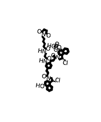 O=C(CCCCCN1C(=O)C=CC1=O)NCCC(=O)Nc1cc(C=CC(=O)N2C[C@@H](CCl)c3c2cc(O)c2ccccc32)ccc1C=CC(=O)N1C[C@@H](CCl)c2c1cc(OP(=O)(O)O)c1ccccc21